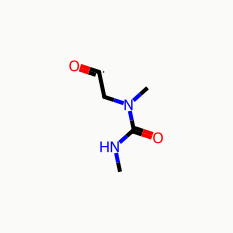 CNC(=O)N(C)C[C]=O